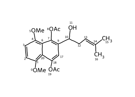 COc1ccc(OC)c2c(OC(C)=O)c(C(O)CC=C(C)C)cc(OC(C)=O)c12